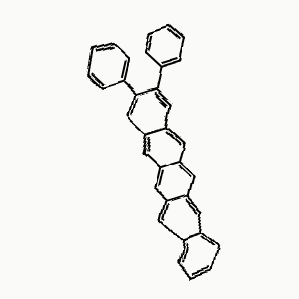 c1ccc(-c2cc3cc4cc5cc6ccccc6cc5cc4cc3cc2-c2ccccc2)cc1